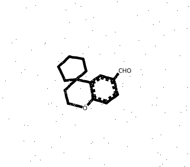 O=Cc1ccc2c(c1)C1(CCCCC1)CCO2